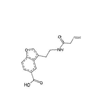 C=CCC(=O)NCCc1coc2ccc(C(=O)O)cc12